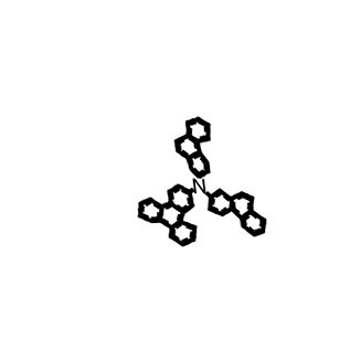 c1ccc2c(c1)ccc1cc(N(c3ccc4c(ccc5ccccc54)c3)c3ccc4c5ccccc5c5ccccc5c4c3)ccc12